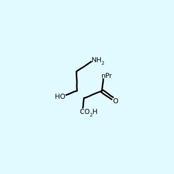 CCCC(=O)CC(=O)O.NCCO